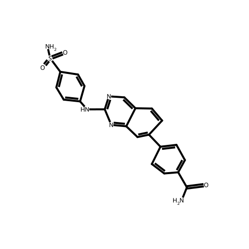 NC(=O)c1ccc(-c2ccc3cnc(Nc4ccc(S(N)(=O)=O)cc4)nc3c2)cc1